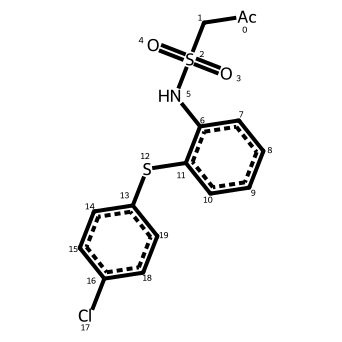 CC(=O)CS(=O)(=O)Nc1ccccc1Sc1ccc(Cl)cc1